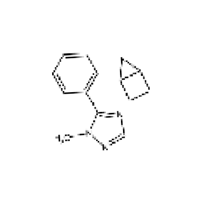 C1CC2CC12.Cn1ncnc1-c1ccccc1